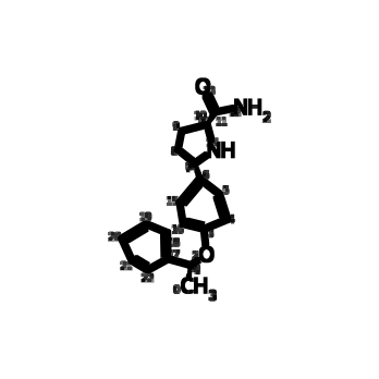 C[C@@H](Oc1ccc([C@H]2CC[C@@H](C(N)=O)N2)cc1)c1ccccc1